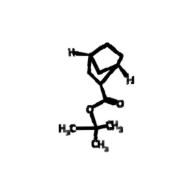 CC(C)(C)OC(=O)[C@H]1C[C@@H]2CC[C@H]1C2